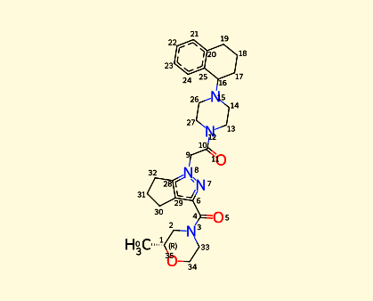 C[C@@H]1CN(C(=O)c2nn(CC(=O)N3CCN(C4CCCc5ccccc54)CC3)c3c2CCC3)CCO1